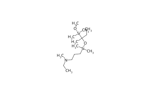 CCN(C)CCC[Si](C)(C)OC(C)(CC)[Si](C)(C)OC